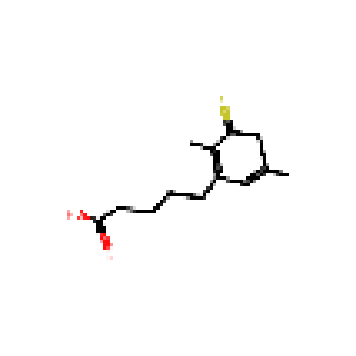 CC1=CC(CCCCC(=O)O)=C(C)C(=S)C1